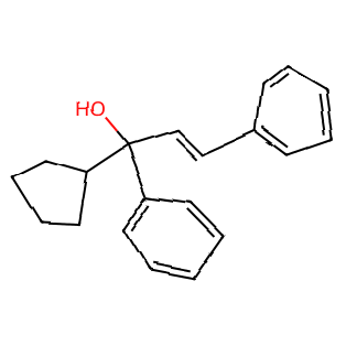 OC(C=Cc1ccccc1)(c1ccccc1)C1CCCC1